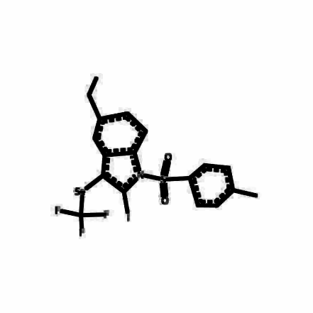 CCc1ccc2c(c1)c([Se]C(F)(F)F)c(I)n2S(=O)(=O)c1ccc(C)cc1